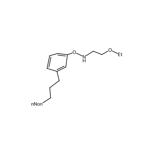 CCCCCCCCCCCCc1cccc(ONCCOCC)c1